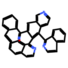 [c]1c(-c2nccc3ccccc23)c(-c2nccc3ccccc23)c(-c2nccc3ccccc23)c2ccncc12